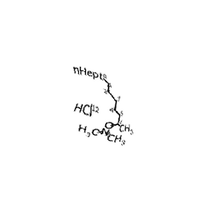 CCCCCCCCCCCCC(C)ON(C)C.Cl